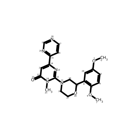 COc1ccc(OC)c(C2CN(c3nc(-c4ccncn4)cc(=O)n3C)CCO2)c1